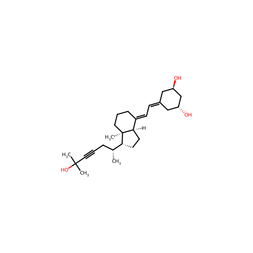 C[C@H](CC#CC(C)(C)O)[C@H]1CC[C@@H]2/C(=C/C=C3C[C@@H](O)C[C@H](O)C3)CCC[C@@]21C